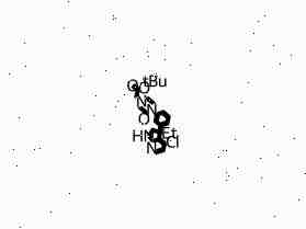 CCC1(c2cccc(N3CCN(CC(=O)OC(C)(C)C)CC3=O)c2)CNc2nccc(Cl)c21